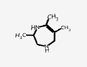 CC1=C(C)NC(C)CNC1